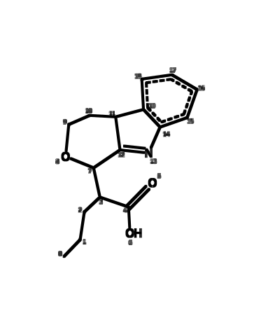 CCCC(C(=O)O)C1OCCC2C1=Nc1ccccc12